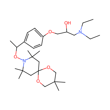 CCN(CC)CC(O)COc1ccc(C(C)ON2C(C)(C)CC3(CC2(C)C)OCC(C)(C)CO3)cc1